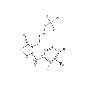 CS(C)(C)CCOCN1C(=O)CCC1C(=O)c1ccc(Br)c(F)c1F